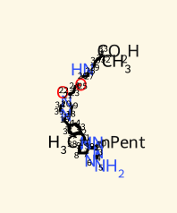 CCCCCNc1nc(N)nc2ccn(Cc3ccc(CN4CCN(C(=O)CCOCCNCCC(C)C(=O)O)CC4)cc3C)c12